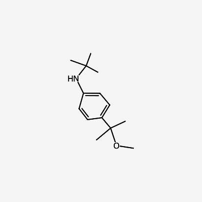 COC(C)(C)c1ccc(NC(C)(C)C)cc1